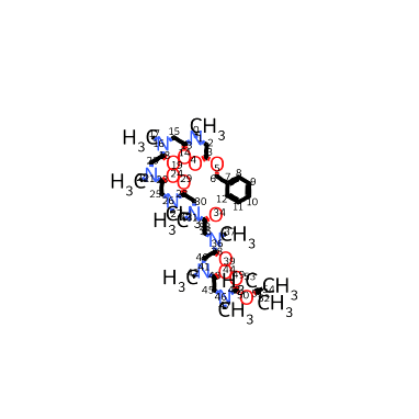 CN(CC(=O)OCc1ccccc1)C(=O)CN(C)C(=O)CN(C)C(=O)CN(C)C(=O)CN(C)C(=O)CN(C)C(=O)CN(C)C(=O)CN(C)C(=O)OC(C)(C)C